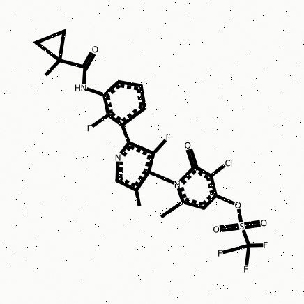 Cc1cnc(-c2cccc(NC(=O)C3(C)CC3)c2F)c(F)c1-n1c(C)cc(OS(=O)(=O)C(F)(F)F)c(Cl)c1=O